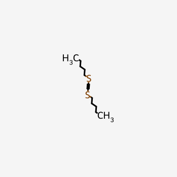 CCCCCSC#CSCCCCC